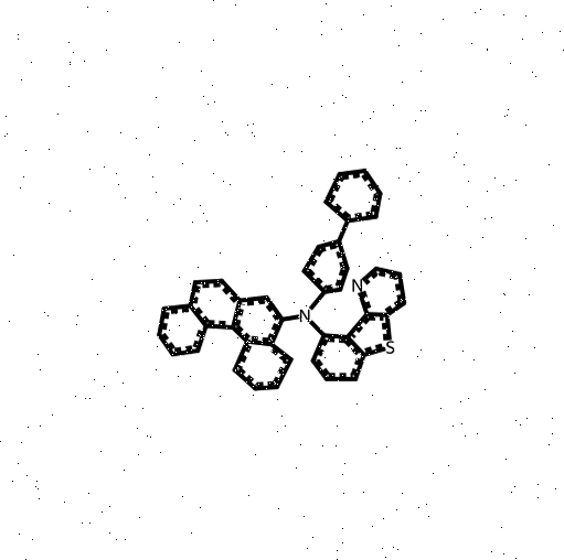 c1ccc(-c2ccc(N(c3cc4ccc5ccccc5c4c4ccccc34)c3cccc4sc5cccnc5c34)cc2)cc1